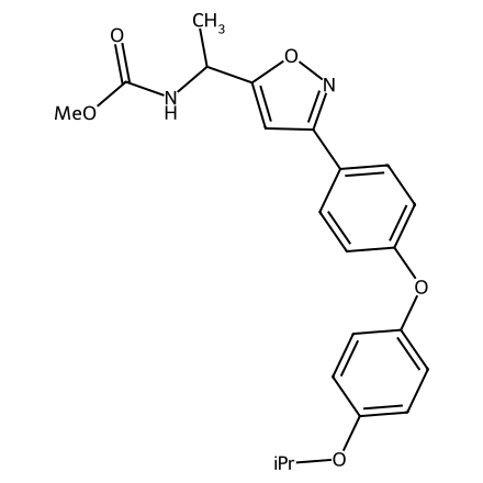 COC(=O)NC(C)c1cc(-c2ccc(Oc3ccc(OC(C)C)cc3)cc2)no1